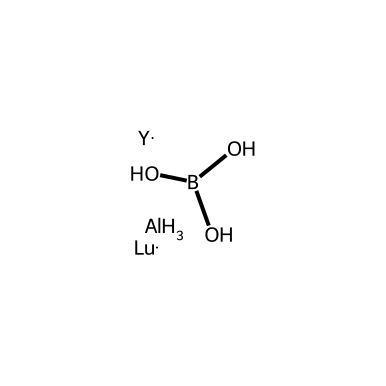 OB(O)O.[AlH3].[Lu].[Y]